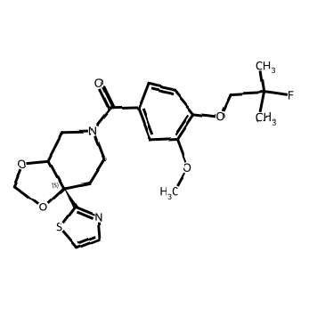 COc1cc(C(=O)N2CC[C@]3(c4nccs4)OCOC3C2)ccc1OCC(C)(C)F